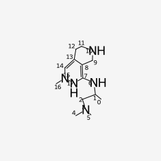 CC(CN(C)C)NC1=C2CNCCC2=CN(C)N1